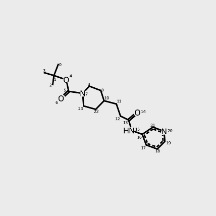 CC(C)(C)OC(=O)N1CCC(CCC(=O)Nc2cccnc2)CC1